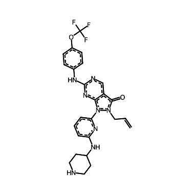 C=CCn1c(=O)c2cnc(Nc3ccc(OC(F)(F)F)cc3)nc2n1-c1cccc(NC2CCNCC2)n1